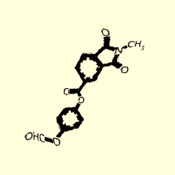 CN1C(=O)c2ccc(C(=O)Oc3ccc(OC=O)cc3)cc2C1=O